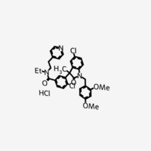 CCN(CCc1ccncc1)C(=O)c1ccc(Cl)c(C2(C)C(=O)N(Cc3ccc(OC)cc3OC)c3ccc(Cl)cc32)c1.Cl